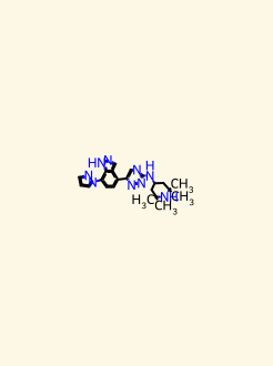 CC1(C)CC(Nc2ncc(-c3ccc(-n4cccn4)c4[nH]ncc34)nn2)CC(C)(C)N1